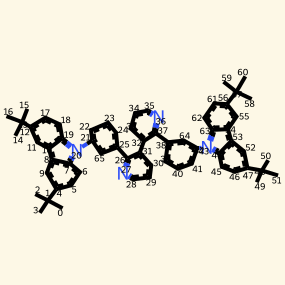 CC(C)(C)c1ccc2c(c1)c1cc(C(C)(C)C)ccc1n2-c1cccc(-c2ncccc2-c2cccnc2-c2cccc(-n3c4ccc(C(C)(C)C)cc4c4cc(C(C)(C)C)ccc43)c2)c1